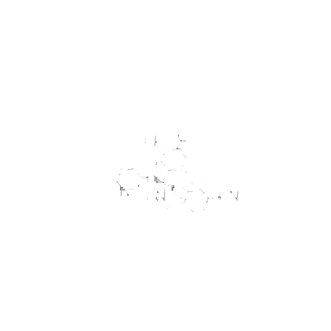 N#Cc1ccc(CN(Cc2ccccn2)S(=O)(=O)c2ccc(Cl)c(Cl)c2)cc1